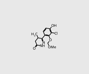 COCOc1c(C2=NNC(=O)CC2C)ccc(O)c1Cl